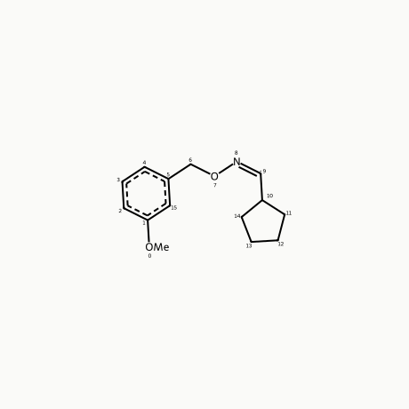 COc1cccc(CO/N=[C]\C2CCCC2)c1